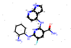 NC(=O)c1cc(F)c(NC2CCCCC2N)nc1Nc1ccnc2[nH]ccc12